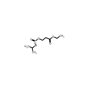 CCOC(=O)CCO[PH](=O)OC(C)C